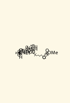 CC[C@@H]1C[C@]1(NC(=O)[C@@H]1CCCN1C(=O)[C@@H](NC(=O)OCC(C)(C)CCCCc1cccc2c1CN(C(=O)OC)C2)C(C)(C)C)C(=O)NS(=O)(=O)C1CC1